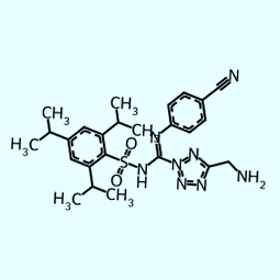 CC(C)c1cc(C(C)C)c(S(=O)(=O)NC(=Nc2ccc(C#N)cc2)n2nnc(CN)n2)c(C(C)C)c1